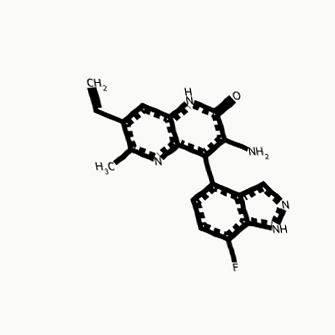 C=Cc1cc2[nH]c(=O)c(N)c(-c3ccc(F)c4[nH]ncc34)c2nc1C